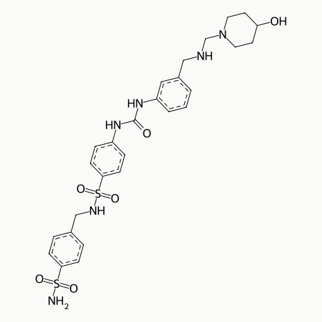 NS(=O)(=O)c1ccc(CNS(=O)(=O)c2ccc(NC(=O)Nc3cccc(CNCN4CCC(O)CC4)c3)cc2)cc1